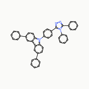 c1ccc(-c2ccc3c(c2)c2cc(-c4ccccc4)ccc2n3-c2ccc(-c3nnc(-c4ccccc4)n3-c3ccccc3)cc2)cc1